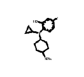 CNC1CCC(N(c2ccc(F)cc2O)C2CC2)CC1